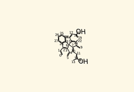 C=CC1=C(C=C)C(/C(C=C)=C/C=C(\C)O)(C(/C=C\C(=C)O)=C/C)c2ccccc21